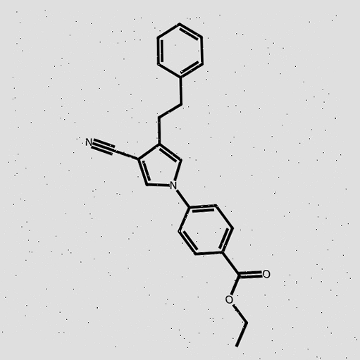 CCOC(=O)c1ccc(-n2cc(C#N)c(CCc3ccccc3)c2)cc1